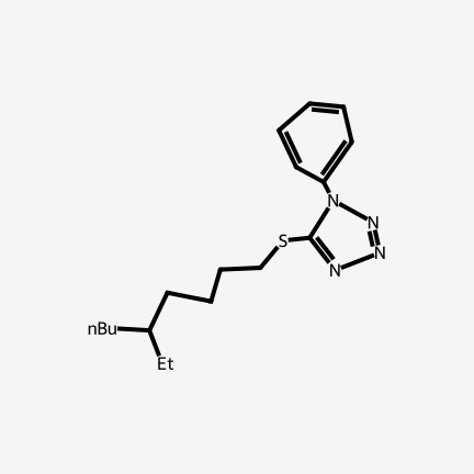 CCCCC(CC)CCCCSc1nnnn1-c1ccccc1